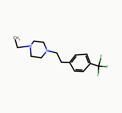 CCN1CCN(CCc2ccc(C(F)(F)F)cc2)CC1